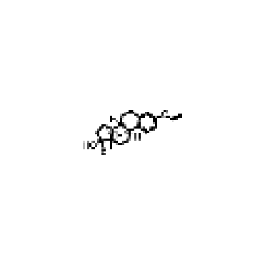 C=COc1ccc2c(c1)CC[C@@H]1[C@@H]2CC[C@@]2(C)[C@H]1CC[C@@]2(O)Br